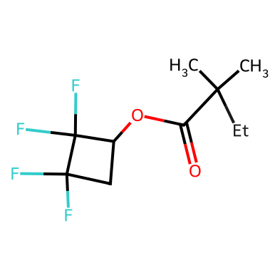 CCC(C)(C)C(=O)OC1CC(F)(F)C1(F)F